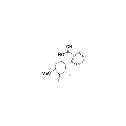 COC1CC[C@H](c2ccccc2B(O)O)[C@H](F)[C@H]1F